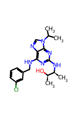 CC(C)n1cnc2c(NCc3cccc(Cl)c3)nc(N[C@@H](C)[C@@H](C)O)nc21